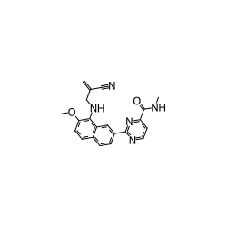 C=C(C#N)CNc1c(OC)ccc2ccc(-c3nccc(C(=O)NC)n3)cc12